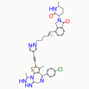 CC(=N)N1C(=N)CN=C(c2ccc(Cl)cc2)c2c1sc(C#Cc1cnn(CCC/C=C/c3cccc4c3CN(C3CCC(C)NC3=O)C4=O)c1)c2C